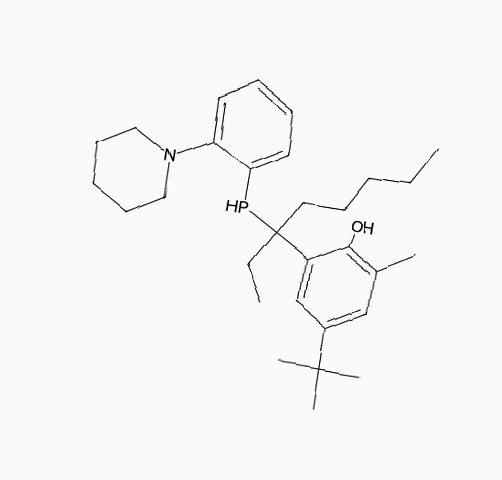 CCCCCC(CC)(Pc1ccccc1N1CCCCC1)c1cc(C(C)(C)C)cc(C)c1O